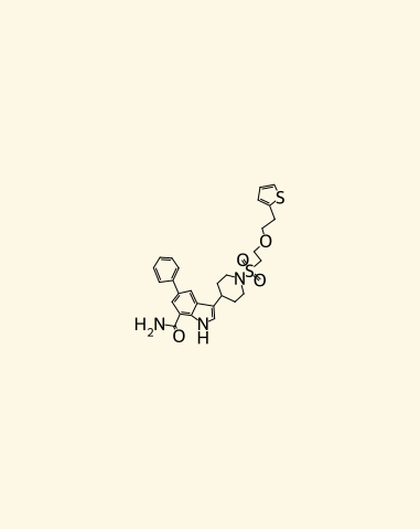 NC(=O)c1cc(-c2ccccc2)cc2c(C3CCN(S(=O)(=O)CCOCCc4cccs4)CC3)c[nH]c12